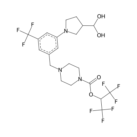 O=C(OC(C(F)(F)F)C(F)(F)F)N1CCN(Cc2cc(N3CCC(C(O)O)C3)cc(C(F)(F)F)c2)CC1